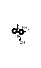 Cc1cc(NCCO)c2c([nH]c3ccccc32)c1N